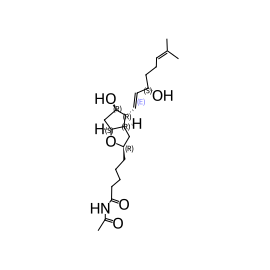 CC(=O)NC(=O)CCCC[C@@H]1C[C@@H]2[C@@H](/C=C/[C@@H](O)CCC=C(C)C)[C@H](O)C[C@@H]2O1